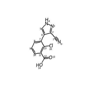 N#Cc1n[nH]cc1-c1cccc(C(=O)O)c1Cl